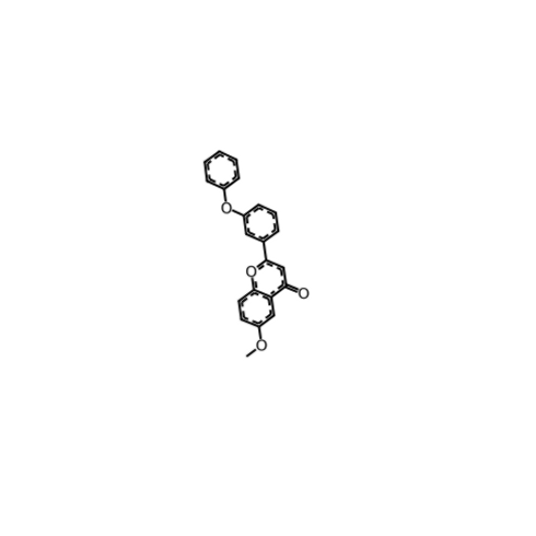 COc1ccc2oc(-c3cccc(Oc4ccccc4)c3)cc(=O)c2c1